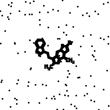 CC1=C(CCC2C=Cc3ccccc32)C2=CC3SC(Br)=CC3=C(C)C2=C1